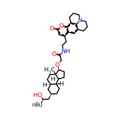 CCCC[C@@H](O)C[C@@H]1CC[C@@H]2[C@H](CC[C@]3(C)[C@@H](OCC(=O)NCCc4cc(=O)oc5c6c7c(cc45)CCCN7CCC6)CC[C@@H]23)C1